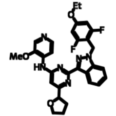 CCOc1cc(F)c(Cn2nc(-c3nc(Nc4ccncc4OC)cc(C4CCCO4)n3)c3ccccc32)c(F)c1